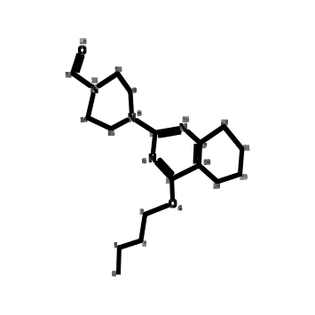 CCCCOc1nc(N2CCN(C=O)CC2)nc2c1CCCC2